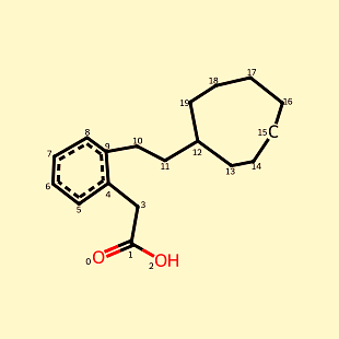 O=C(O)Cc1ccccc1CCC1CCCCCCC1